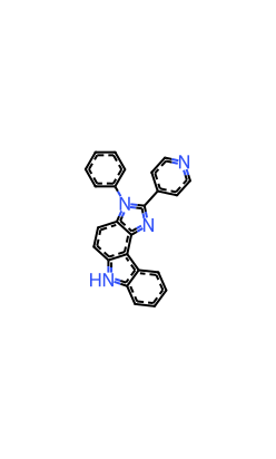 c1ccc(-n2c(-c3ccncc3)nc3c4c(ccc32)[nH]c2ccccc24)cc1